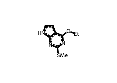 CCOc1nc(SC)nc2[nH]ccc12